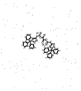 NC(Cc1nnn(C(c2ccccc2)(c2ccccc2)c2ccccc2)n1)OC(=O)C(=O)OC(N)Cc1nnn(C(c2ccccc2)(c2ccccc2)c2ccccc2)n1